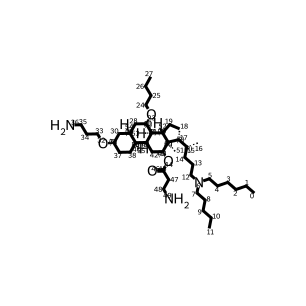 CCCCCCN(CCCCC)CCC[C@@H](C)[C@H]1CC[C@H]2[C@@H]3[C@H](OCCCC)C[C@@H]4C[C@H](OCCCN)CC[C@]4(C)[C@H]3C[C@H](OC(=O)CCN)[C@]12C